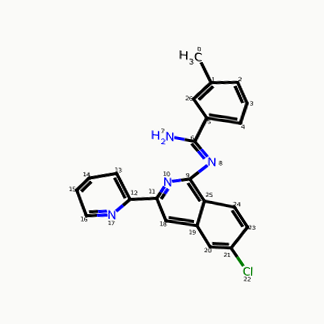 Cc1cccc(C(N)=Nc2nc(-c3ccccn3)cc3cc(Cl)ccc23)c1